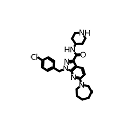 O=C(NC1CCNCC1)c1nn(Cc2ccc(Cl)cc2)c2nc(N3CCCCCC3)ccc12